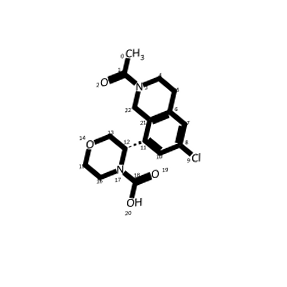 CC(=O)N1CCc2cc(Cl)cc([C@H]3COCCN3C(=O)O)c2C1